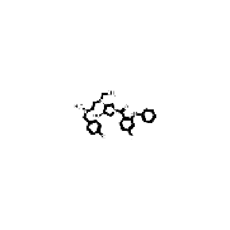 CCN(CCN(C)Cc1ccc(Cl)cc1)[C@@H]1CN(C(=O)c2ccc(Cl)cc2Nc2ccccc2)C[C@H]1O